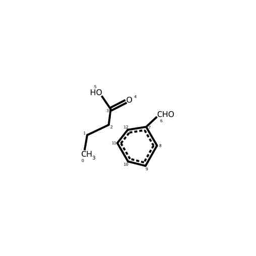 CCCC(=O)O.O=Cc1ccccc1